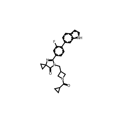 O=C(C1CC1)N1CC(CN2C(=O)C3(CC3)N=C2c2ccc(-c3ccc4cc[nH]c4c3)c(F)c2)C1